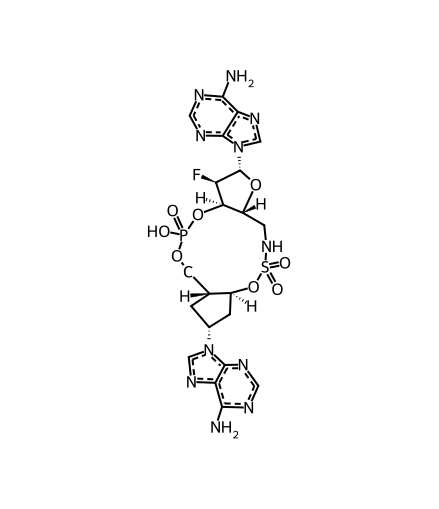 Nc1ncnc2c1ncn2[C@@H]1C[C@@H]2COP(=O)(O)O[C@H]3[C@@H](F)[C@H](n4cnc5c(N)ncnc54)O[C@@H]3CNS(=O)(=O)O[C@H]2C1